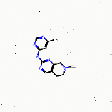 Cc1cc(Nc2ncc3c(n2)CN(C(=O)O)CC3)ncn1